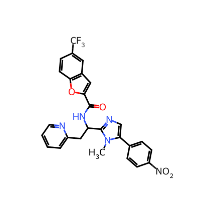 Cn1c(-c2ccc([N+](=O)[O-])cc2)cnc1C(Cc1ccccn1)NC(=O)c1cc2cc(C(F)(F)F)ccc2o1